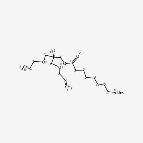 C=CCOCC(CC)(COCC=C)COC(=O)CCCCCCCCCCCCCCCCC